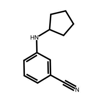 N#Cc1cccc(NC2CCCC2)c1